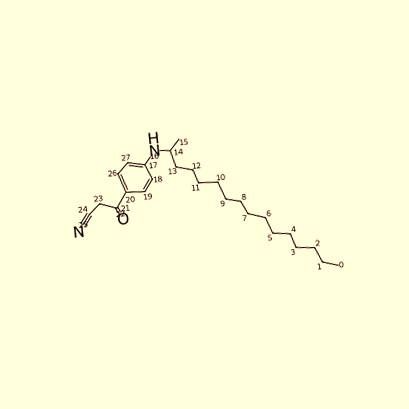 CCCCCCCCCCCCCCC(C)Nc1ccc(C(=O)CC#N)cc1